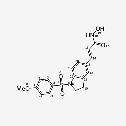 COc1ccc(S(=O)(=O)N2CCc3cc(/C=C/C(=O)NO)ccc32)cc1